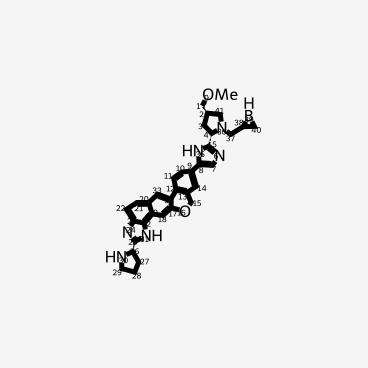 COC[C@H]1C[C@@H](c2ncc(-c3ccc4c(c3)COc3cc5c(ccc6nc([C@@H]7CCCN7)[nH]c65)cc3-4)[nH]2)N(CC2BC2)C1